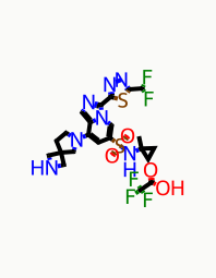 CC1(NS(=O)(=O)c2cc(N3CCC4(CNC4)C3)c3cnc(-c4nnc(C(F)F)s4)n3c2)CC1.O=C(O)C(F)(F)F